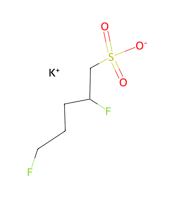 O=S(=O)([O-])CC(F)CCCF.[K+]